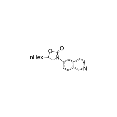 CCCCCCC1CN(c2ccc3cnccc3c2)C(=O)O1